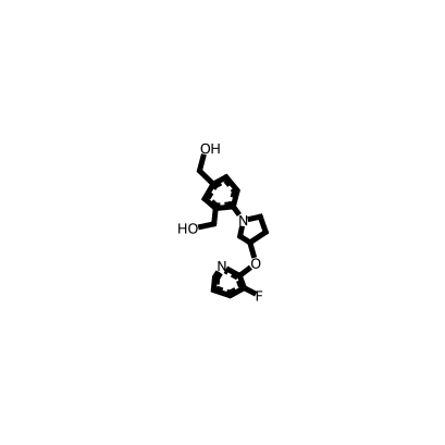 OCc1ccc(N2CCC(Oc3ncccc3F)C2)c(CO)c1